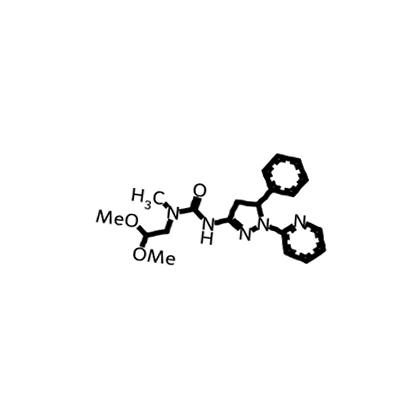 COC(CN(C)C(=O)NC1=NN(c2ccccn2)C(c2ccccc2)C1)OC